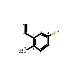 C=[C]c1cc(F)ccc1C(C)(C)C